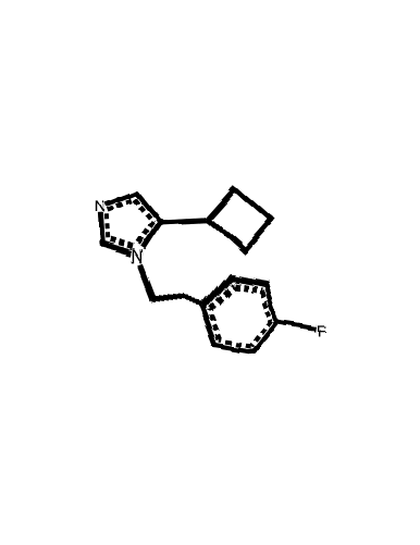 Fc1ccc(Cn2cncc2C2CCC2)cc1